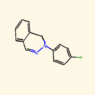 Fc1ccc(N2Cc3ccccc3C=N2)cc1